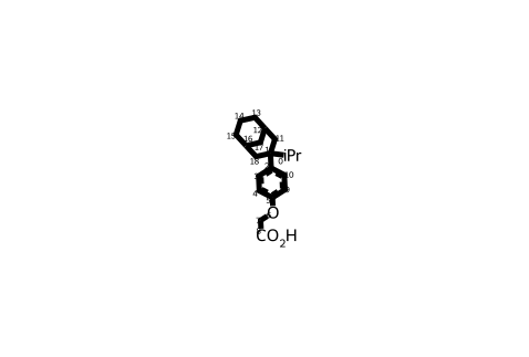 CC(C)C1(c2ccc(OCC(=O)O)cc2)CC2CCCC(C2)C1